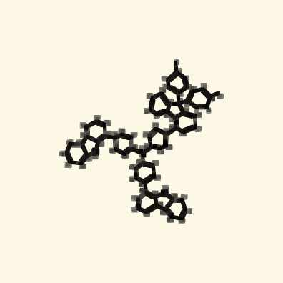 Cc1ccc(C2(c3ccc(C)cc3)c3ccccc3-c3c(-c4ccc(N(c5ccc(-c6cccc7c6oc6ccccc67)cc5)c5ccc(-c6cccc7c6oc6ccccc67)cc5)cc4)cccc32)cc1